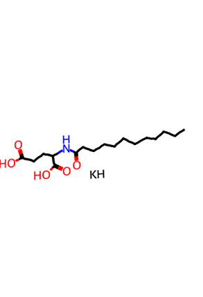 CCCCCCCCCCCC(=O)NC(CCC(=O)O)C(=O)O.[KH]